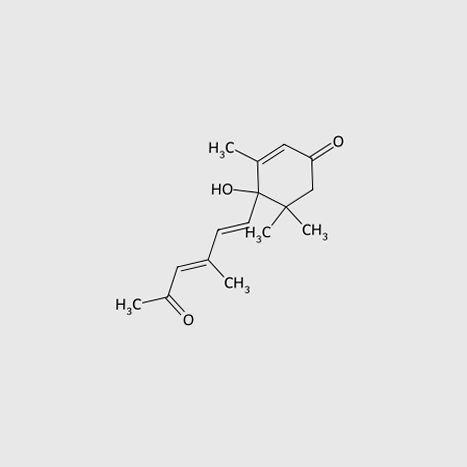 CC(=O)/C=C(C)/C=C/C1(O)C(C)=CC(=O)CC1(C)C